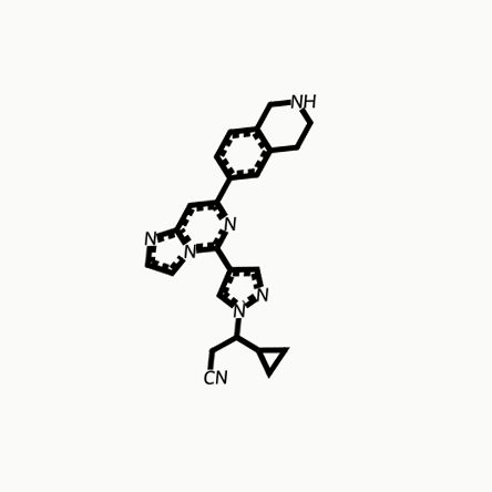 N#CCC(C1CC1)n1cc(-c2nc(-c3ccc4c(c3)CCNC4)cc3nccn23)cn1